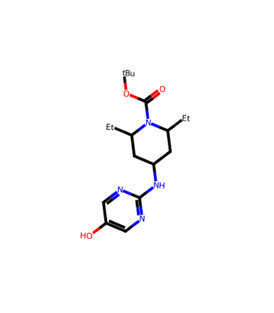 CCC1CC(Nc2ncc(O)cn2)CC(CC)N1C(=O)OC(C)(C)C